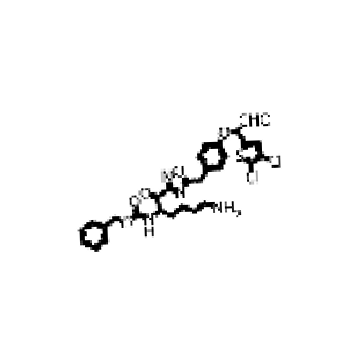 NCCCCC(NC(=O)OCc1ccccc1)C(=O)c1noc(Cc2ccc(OC(C=O)c3cc(Cl)c(Cl)s3)cc2)n1